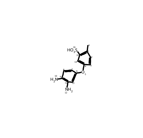 Cc1ccc(Oc2ccc(N)c(N)c2)cc1S(=O)(=O)O